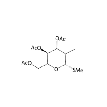 CS[C@@H]1OC(COC(C)=O)[C@@H](OC(C)=O)[C@H](OC(C)=O)C1C